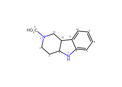 O=C(O)N1CCC2Nc3ccccc3C2C1